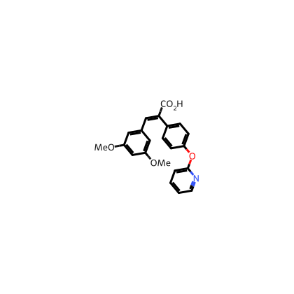 COc1cc(C=C(C(=O)O)c2ccc(Oc3ccccn3)cc2)cc(OC)c1